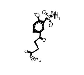 NC(=O)CCC(=O)c1ccc(Cl)c(S(N)(=O)=O)c1